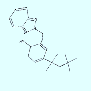 CC(C)(C)CC(C)(C)C1=CCC(O)C(Cn2nc3ccccc3n2)=C1